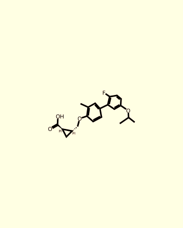 Cc1cc(-c2cc(OC(C)C)ccc2F)ccc1OC[C@@H]1C[C@H]1C(=O)O